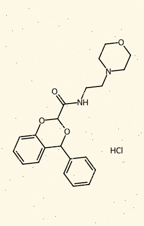 Cl.O=C(NCCN1CCOCC1)C1Oc2ccccc2C(c2ccccc2)O1